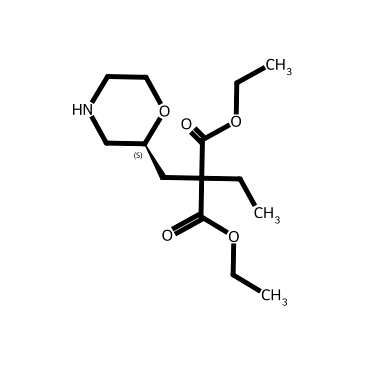 CCOC(=O)C(CC)(C[C@H]1CNCCO1)C(=O)OCC